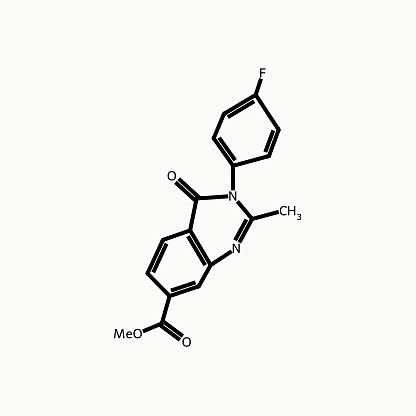 COC(=O)c1ccc2c(=O)n(-c3ccc(F)cc3)c(C)nc2c1